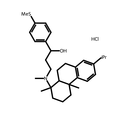 CSc1ccc(C(O)CCN(C)C2(C)CCCC3(C)c4ccc(C(C)C)cc4CCC32)cc1.Cl